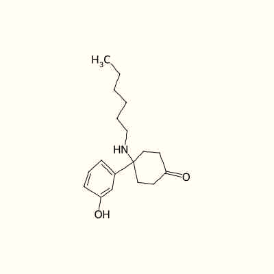 CCCCCCNC1(c2cccc(O)c2)CCC(=O)CC1